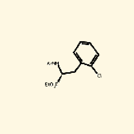 CCOC(=O)[C@H](Cc1ccccc1Cl)NC(C)=O